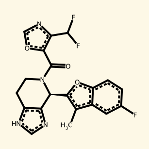 Cc1c([C@H]2c3nc[nH]c3CCN2C(=O)c2ocnc2C(F)F)oc2ccc(F)cc12